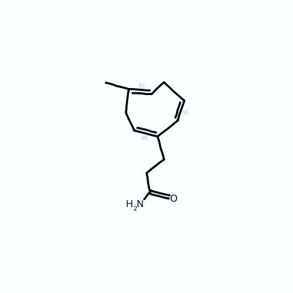 C/C1=C\C/C=C\C(CCC(N)=O)=C/C1